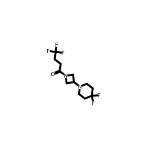 O=C(CCC(F)(F)F)N1CC(N2CCC(F)(F)CC2)C1